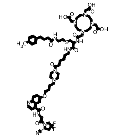 Cc1ccc(CCCC(=O)NCCSCC(NC(=O)CN2CCN(CC(=O)O)CCN(CC(=O)O)CCN(CC(=O)O)CC2)C(=O)NCCCCCC(=O)N2CCN(CCCCOc3ccc4nccc(C(=O)NCC(=O)N5CC(F)(F)C[C@@H]5C#N)c4c3)CC2)cc1